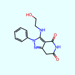 O=C1Cc2nn(-c3ccccc3)c(NCCO)c2C(=O)N1